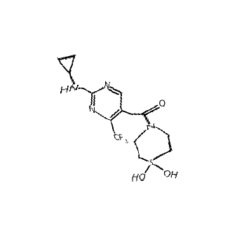 O=C(c1cnc(NC2CC2)nc1C(F)(F)F)N1CCS(O)(O)CC1